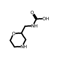 O=C(O)NCC1CNCCO1